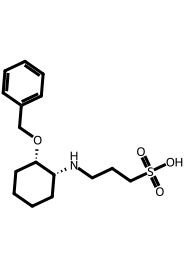 O=S(=O)(O)CCCN[C@@H]1CCCC[C@@H]1OCc1ccccc1